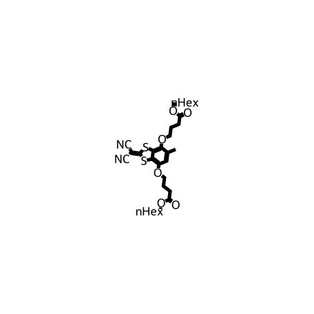 CCCCCCOC(=O)CCCOc1cc(C)c(OCCCC(=O)OCCCCCC)c2c1SC(=C(C#N)C#N)S2